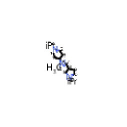 CC(C)N1CCC(N(C)CC2CCN(C(C)C)C2)CC1